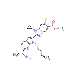 C=CCCCn1c(-c2nc3cc(C(=O)OC)c(F)cc3n2C2CC2)cc2ccc([C@@H](C)N)nc21